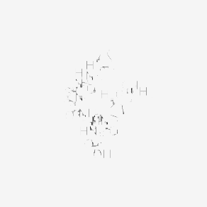 CC(C)(C)Cc1ccc(NC(=O)[C@H](CC(=O)O)NC(=O)CNC(=O)c2csc(NC(=O)NCc3ccccc3)n2)cc1